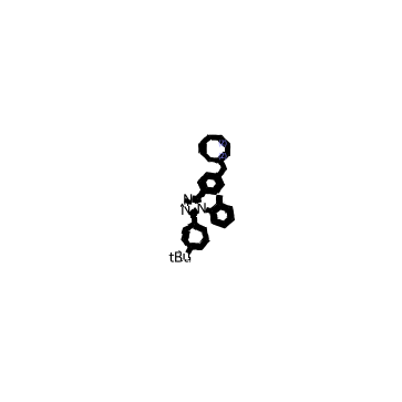 Cc1ccccc1-n1c(C2=CCC=C(C(C)(C)C)C=C2)nnc1-c1ccc(C/C2=C/C=C\CC#CC2)cc1